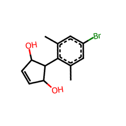 Cc1cc(Br)cc(C)c1C1C(O)C=CC1O